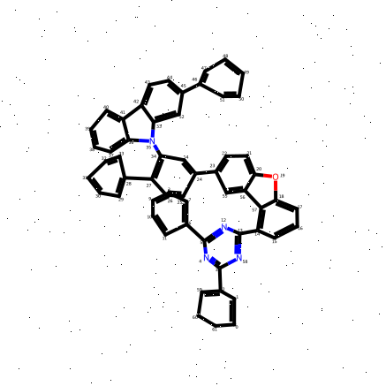 C1=CC(c2nc(-c3ccccc3)nc(-c3cccc4oc5ccc(-c6ccc(-c7ccccc7)c(-n7c8ccccc8c8ccc(-c9ccccc9)cc87)c6)cc5c34)n2)=CCC1